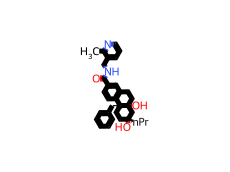 CCC[C@@]1(O)CC[C@@]2(Cc3ccccc3)c3ccc(C(=O)NCc4cccnc4C)cc3CC[C@]2(O)C1